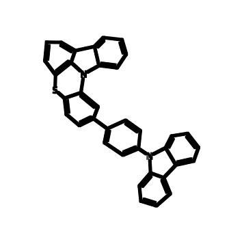 c1ccc2c(c1)c1ccccc1n2-c1ccc(-c2ccc3c(c2)-n2c4ccccc4c4cccc(c42)S3)cc1